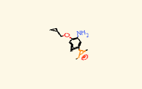 CP(C)(=O)c1ccc(OCC2CC2)c(N)c1